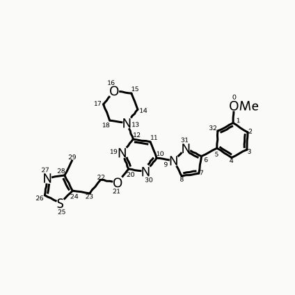 COc1cccc(-c2ccn(-c3cc(N4CCOCC4)nc(OCCc4scnc4C)n3)n2)c1